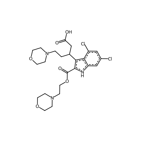 O=C(O)CC(CCN1CCOCC1)c1c(C(=O)OCCN2CCOCC2)[nH]c2cc(Cl)cc(Cl)c12